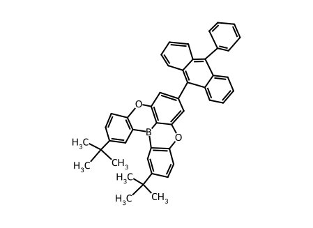 CC(C)(C)c1ccc2c(c1)B1c3cc(C(C)(C)C)ccc3Oc3cc(-c4c5ccccc5c(-c5ccccc5)c5ccccc45)cc(c31)O2